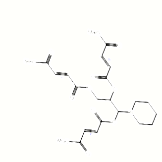 COC(=O)/C=C/C(=O)OCC(OC(=O)/C=C/C(=O)OC)C(OC(=O)/C=C/C(=O)OC)N1CCCCC1